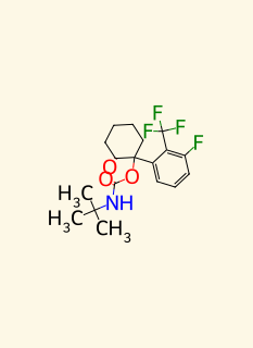 CC(C)(C)NC(=O)OC1(c2cccc(F)c2C(F)(F)F)CCCCC1=O